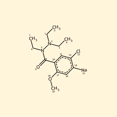 CCN(CC)N(CC)C(=O)c1cc(Cl)[c]([Na])cc1OC